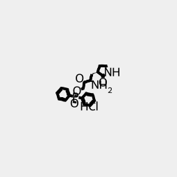 Cl.N[C@@H](C[C@@H]1CCNC1=O)C(=O)COP(=O)(c1ccccc1)c1ccccc1